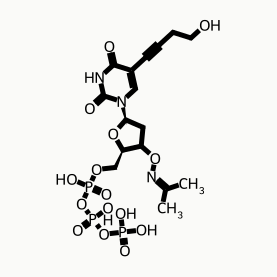 CC(C)=NOC1C[C@H](n2cc(C#CCCO)c(=O)[nH]c2=O)O[C@@H]1COP(=O)(O)OP(=O)(O)OP(=O)(O)O